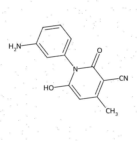 Cc1cc(O)n(-c2cccc(N)c2)c(=O)c1C#N